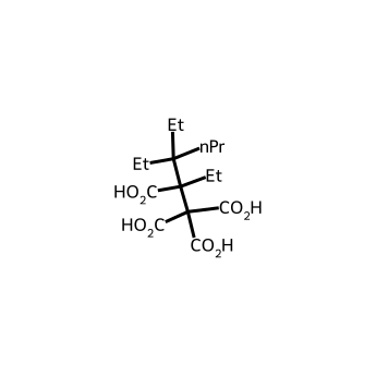 CCCC(CC)(CC)C(CC)(C(=O)O)C(C(=O)O)(C(=O)O)C(=O)O